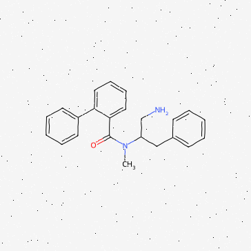 CN(C(=O)c1ccccc1-c1ccccc1)C(CN)Cc1ccccc1